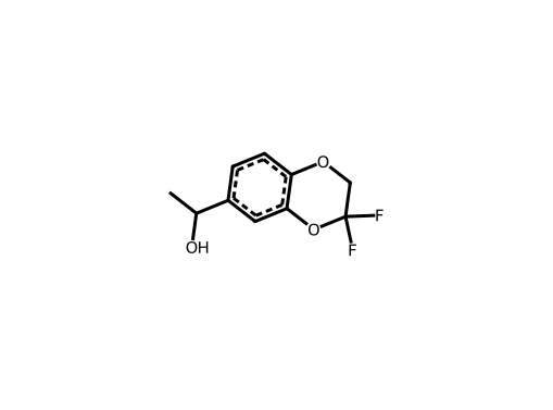 CC(O)c1ccc2c(c1)OC(F)(F)CO2